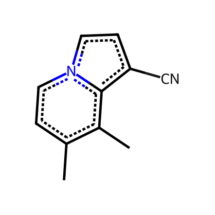 Cc1ccn2ccc(C#N)c2c1C